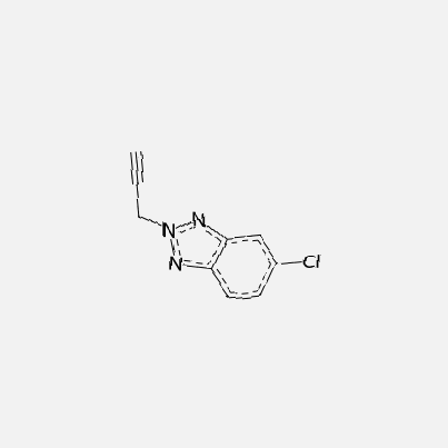 C#CCn1nc2ccc(Cl)cc2n1